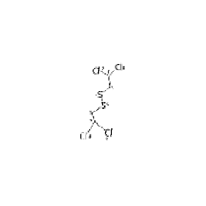 ClC(Cl)CSSCC(Cl)Cl